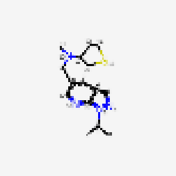 CC(C)n1ncc2cc(CN(C)C3CCSC3)cnc21